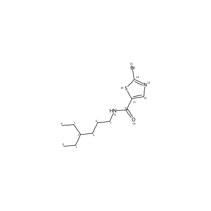 CCC(CC)CCCNC(=O)c1cnc(Br)s1